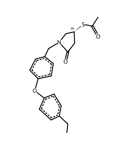 CCc1ccc(Oc2ccc(CN3C[C@H](SC(C)=O)CC3=O)cc2)cc1